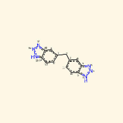 [c]1c(Cc2[c]c3nn[nH]c3cc2)ccc2[nH]nnc12